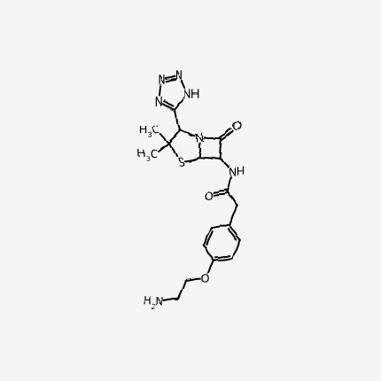 CC1(C)SC2C(NC(=O)Cc3ccc(OCCN)cc3)C(=O)N2C1c1nnn[nH]1